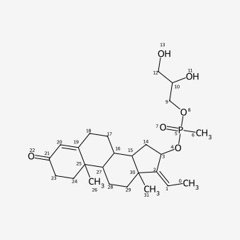 CC=C1C(OP(C)(=O)OCC(O)CO)CC2C3CCC4=CC(=O)CCC4(C)C3CCC12C